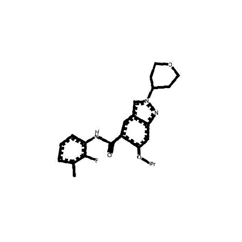 Cc1cccc(NC(=O)c2cc3cn(C4CCOCC4)nc3cc2OC(C)C)c1F